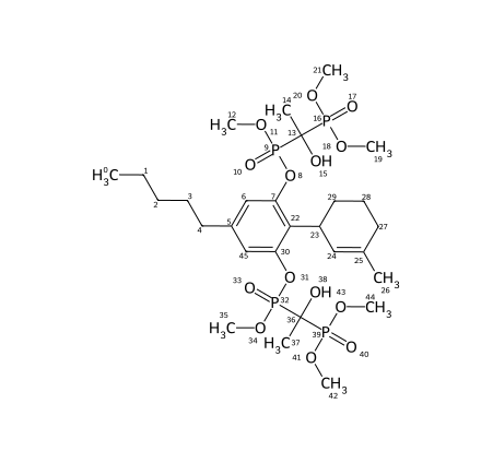 CCCCCc1cc(OP(=O)(OC)C(C)(O)P(=O)(OC)OC)c(C2C=C(C)CCC2)c(OP(=O)(OC)C(C)(O)P(=O)(OC)OC)c1